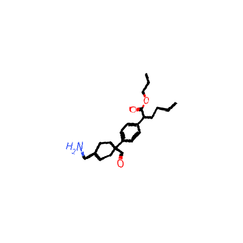 CCCCC(C(=O)OCCC)c1ccc(C2(C=O)CCC(CN)CC2)cc1